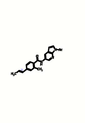 C/C=C/c1ccc(C(=O)Nc2cnc3c(ccn3C(C)=O)c2)c(C)c1